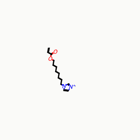 C=CC(=O)OCCCCCCCCn1cc[n+](C)c1